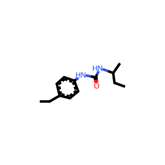 CCc1ccc(NC(=O)NC(C)CC)cc1